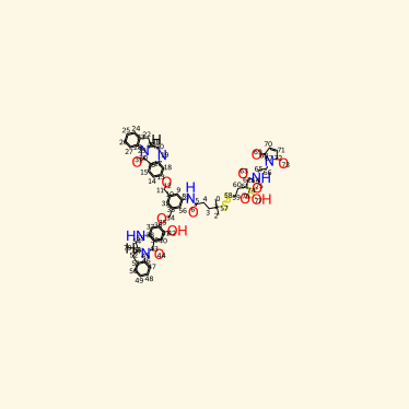 CC(C)(CCC(=O)Nc1cc(COc2ccc3c(c2)N=C[C@@H]2Cc4ccccc4N2C3=O)cc(COc2cc3c(cc2O)C(=O)N2c4ccccc4C[C@H]2CN3)c1)SSCCC(C(=O)NCCN1C(=O)C=CC1=O)S(=O)(=O)O